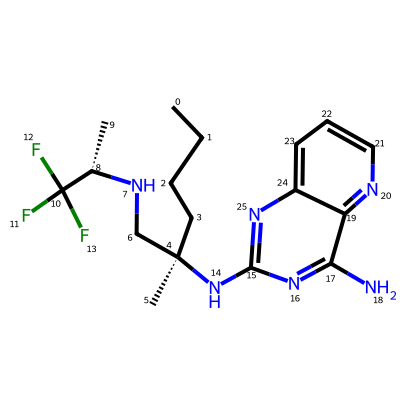 CCCC[C@](C)(CN[C@@H](C)C(F)(F)F)Nc1nc(N)c2ncccc2n1